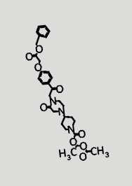 CC(=O)OC(C)OC(=O)N1CCC(N2CCN(CC(=O)c3ccc(OCC(=O)OCc4ccccc4)cc3)C(=O)C2)CC1